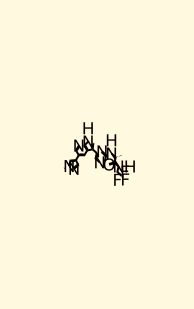 C[C@@H](Nc1cncc(-c2c[nH]c3ncc(-c4cnn(C)c4)cc23)n1)C(=O)NCC(F)(F)F